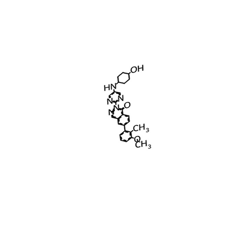 COc1cccc(-c2ccc3c(=O)n(-c4ncc(NC5CCC(O)CC5)cn4)ncc3c2)c1C